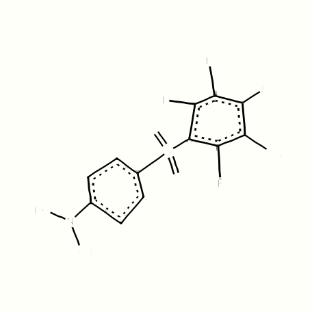 CN(C)c1ccc(S(=O)(=O)c2c(F)c(F)c(F)c(F)c2F)cc1